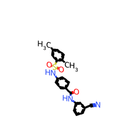 Cc1ccc(C)c(S(=O)(=O)Nc2ccc(C(=O)Nc3cccc(C#N)c3)cc2)c1